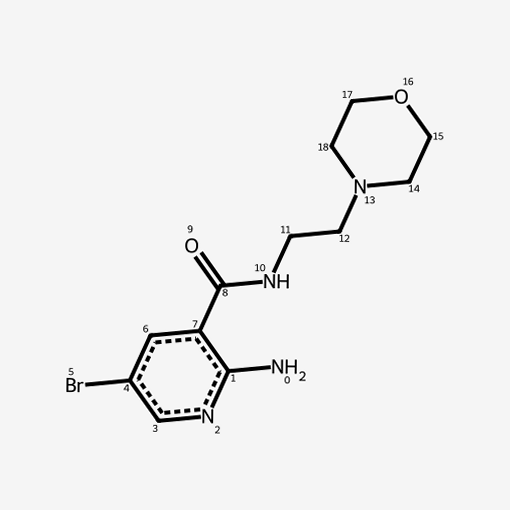 Nc1ncc(Br)cc1C(=O)NCCN1CCOCC1